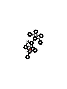 N#Cc1cccc(-c2nc(-c3ccccc3)cc(-c3ccccc3)n2)c1-n1c2ccccc2c2cc(-c3cc4c5c(c3)N(c3ccccc3)c3ccccc3B5c3ccccc3N4c3ccccc3)ccc21